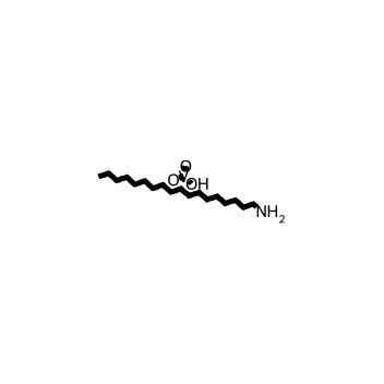 CCCCCCCCCCCCCCCCCCN.[O]=[V](=[O])[OH]